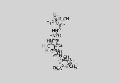 Cc1[nH]c(NC(=O)NCC2=CC(C#N)CC(C)(C)C2)nc(=O)c1C(C)OC(=O)NCC1(C)CC(N=C=O)CC(C)(C)C1